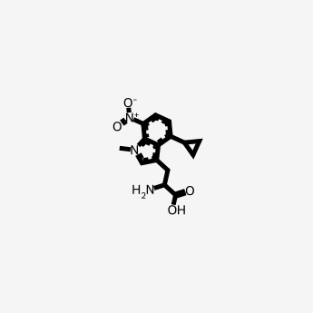 Cn1cc(CC(N)C(=O)O)c2c(C3CC3)ccc([N+](=O)[O-])c21